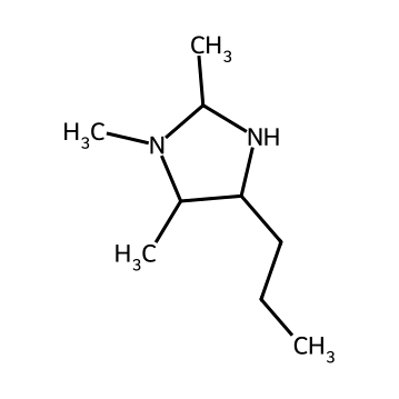 CCCC1NC(C)N(C)C1C